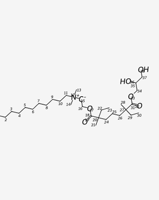 CCCCCCCCCCCC[N+](C)(C)[CH-]COC(=O)C(C)(CC)CCCC(C)(CC)C(=O)OCC(O)CO